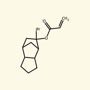 C=CC(=O)OC1(C(C)C)CC2CC1C1CCCC21